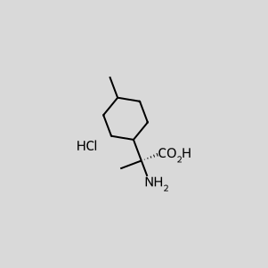 CC1CCC([C@](C)(N)C(=O)O)CC1.Cl